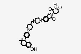 CC1(C)CCc2cc(O)ccc2[C@@H]1c1ccc(N2CCC(CN3CCN(c4ccc5c(c4)CN([C@H]4CCC(=O)NC4=O)C5=O)CC3)CC2)cc1